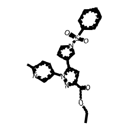 CCOC(=O)c1cc(-c2ccn(S(=O)(=O)c3ccccc3)c2)n(-c2ccc(C)nc2)n1